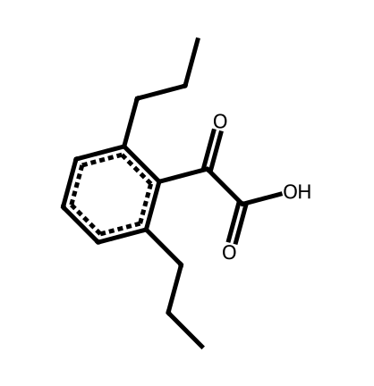 CCCc1cccc(CCC)c1C(=O)C(=O)O